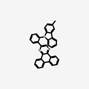 Cc1ccc2c(c1)c1ccccc1n2-c1ccccc1-c1cnc2c3ccccc3c3ccccc3c2n1